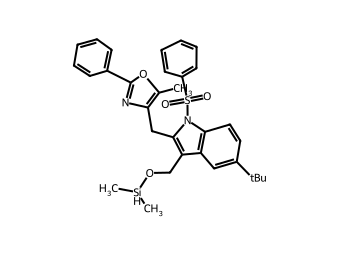 Cc1oc(-c2ccccc2)nc1Cc1c(CO[SiH](C)C)c2cc(C(C)(C)C)ccc2n1S(=O)(=O)c1ccccc1